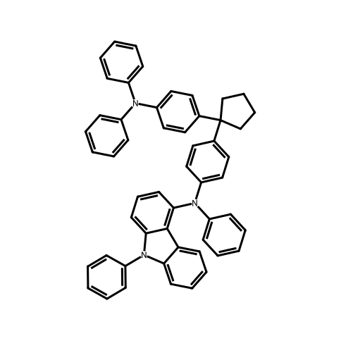 c1ccc(N(c2ccccc2)c2ccc(C3(c4ccc(N(c5ccccc5)c5cccc6c5c5ccccc5n6-c5ccccc5)cc4)CCCC3)cc2)cc1